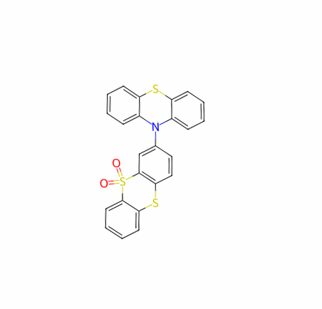 O=S1(=O)c2ccccc2Sc2ccc(N3c4ccccc4Sc4ccccc43)cc21